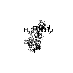 CC1(C)c2ccccc2N(c2cccc3c2sc2c4c(ccc23)C2(c3cccnc3-c3ncccc32)c2ccc3c5c(ccc-4c25)CC3)c2cc3c(cc21)-c1ccccc1[Si]3(C)C